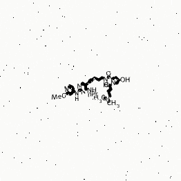 CCCNc1nc(Nc2ccnc(OC)c2)ncc1C#CCCCNC(=O)[C@@H]1C[C@H](O)CN1C(=O)/C=C/CN(C)C